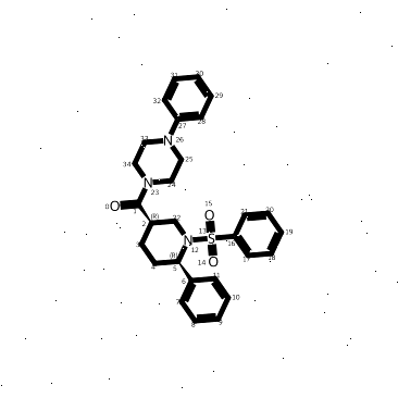 O=C([C@@H]1CC[C@H](c2ccccc2)N(S(=O)(=O)c2ccccc2)C1)N1CCN(c2ccccc2)CC1